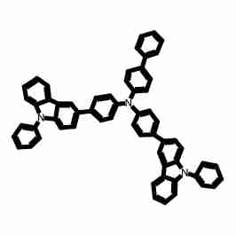 c1ccc(-c2ccc(N(c3ccc(-c4ccc5c(c4)c4ccccc4n5-c4ccccc4)cc3)c3ccc(-c4ccc5c(c4)c4ccccc4n5-c4ccccc4)cc3)cc2)cc1